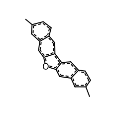 Cc1ccc2cc3c(cc2c1)oc1cc2cc(C)ccc2cc13